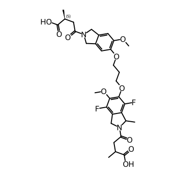 COc1cc2c(cc1OCCCOc1c(F)c3c(c(F)c1OC)CN(C(=O)CC(C)C(=O)O)C3C)CN(C(=O)C[C@H](C)C(=O)O)C2